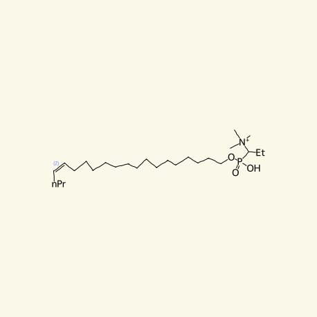 CCC/C=C\CCCCCCCCCCCCCCCOP(=O)(O)C(CC)[N+](C)(C)C